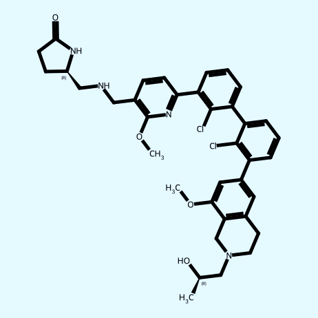 COc1cc(-c2cccc(-c3cccc(-c4ccc(CNC[C@H]5CCC(=O)N5)c(OC)n4)c3Cl)c2Cl)cc2c1CN(C[C@@H](C)O)CC2